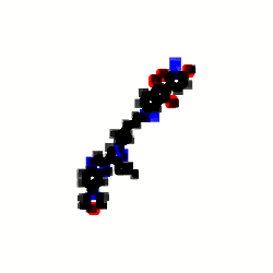 Cc1nn(C2CC(CCCNc3ccc4c(c3)C(=O)C(C3CCC(=O)NC3=O)C4=O)C2)cc1-c1cnc2ccc(N3CCOCC3)cc2n1